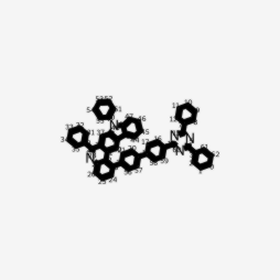 c1ccc(-c2nc(-c3ccccc3)nc(-c3ccc(-c4ccc(-c5cccc6nc(-c7ccccc7)c7cc8c(cc7c56)c5ccccc5n8-c5ccccc5)cc4)cc3)n2)cc1